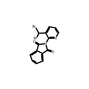 O=C1c2ccccc2C(=O)N1c1ncccc1C(Br)Br